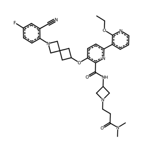 CCOc1ncccc1-c1ccc(OC2CC3(C2)CN(c2ccc(F)cc2C#N)C3)c(C(=O)NC2CN(CCC(=O)N(C)C)C2)n1